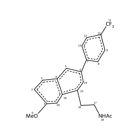 COc1ccc2cc(-c3ccc(C(F)(F)F)cc3)cc(CCNC(C)=O)c2c1